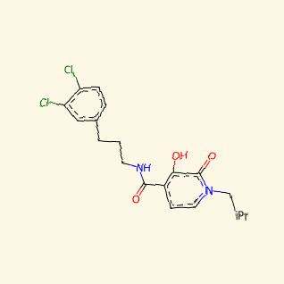 CC(C)Cn1ccc(C(=O)NCCCc2ccc(Cl)c(Cl)c2)c(O)c1=O